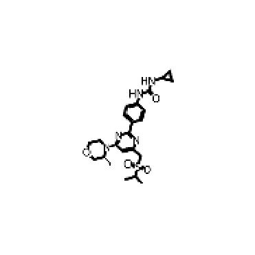 CC(C)S(=O)(=O)Cc1cc(N2CCOC[C@@H]2C)nc(-c2ccc(NC(=O)NC3CC3)cc2)n1